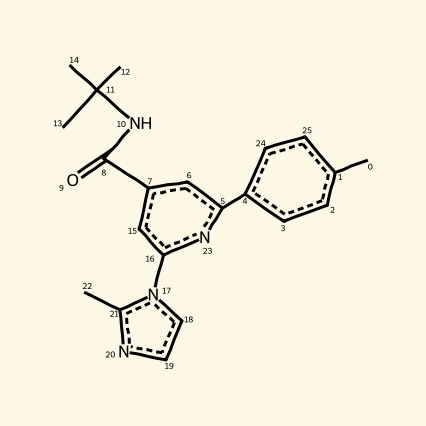 Cc1ccc(-c2cc(C(=O)NC(C)(C)C)cc(-n3ccnc3C)n2)cc1